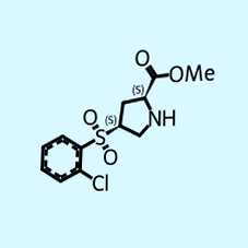 COC(=O)[C@@H]1C[C@H](S(=O)(=O)c2ccccc2Cl)CN1